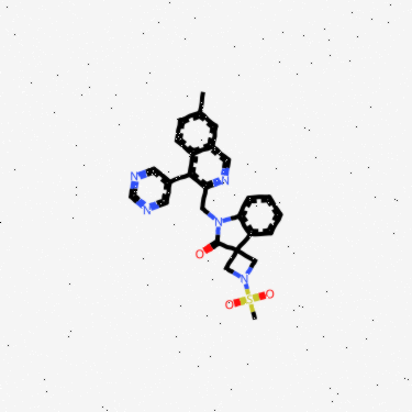 Cc1ccc2c(-c3cncnc3)c(CN3C(=O)C4(CN(S(C)(=O)=O)C4)c4ccccc43)ncc2c1